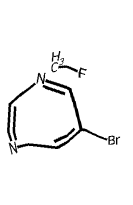 Brc1cncnc1.CF